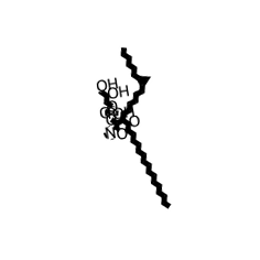 CCCCCCCCCCCCCCCC(=O)C(=O)C(CCCCCCC1CC1CCCCCC)C(C[N+](C)(C)C)OP(=O)(O)OC[C@H](O)CO